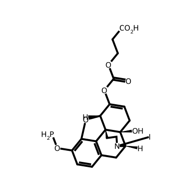 O=C(O)CCOC(=O)OC1=CC[C@]2(O)[C@@H]3Cc4ccc(OP)c5c4[C@]2(CCN3I)[C@@H]1O5